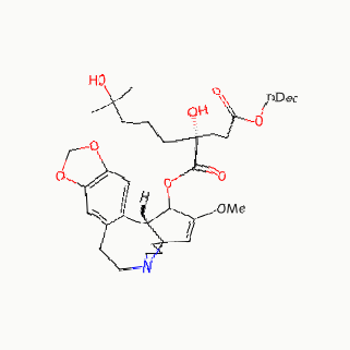 CCCCCCCCCCOC(=O)C[C@](O)(CCCC(C)(C)O)C(=O)OC1C(OC)=CC23CCCN2CCc2cc4c(cc2[C@H]13)OCO4